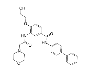 O=C(CN1CCOCC1)Nc1cc(C(=O)Nc2ccc(-c3ccccc3)cc2)ccc1OCCO